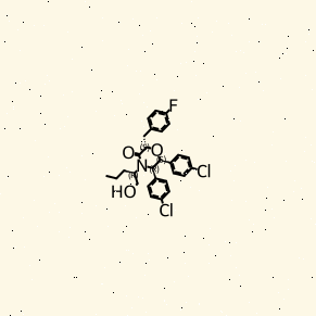 CCC[C@H](CO)N1C(=O)[C@H](Cc2ccc(F)cc2)O[C@@H](c2ccc(Cl)cc2)[C@H]1c1ccc(Cl)cc1